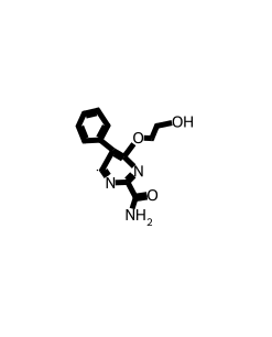 NC(=O)c1n[c]c(-c2ccccc2)c(OCCO)n1